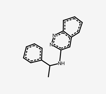 CC(Nc1cc2ccccc2nn1)c1ccccc1